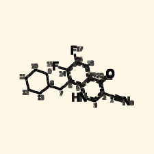 N#Cc1c[nH]c2c(CC3CCCCC3)c(F)c(F)cc2c1=O